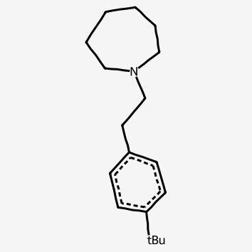 CC(C)(C)c1ccc(CCN2CCCCCC2)cc1